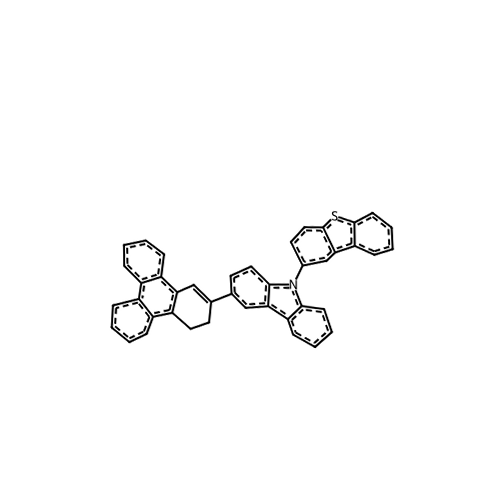 C1=C(c2ccc3c(c2)c2ccccc2n3-c2ccc3sc4ccccc4c3c2)CCc2c1c1ccccc1c1ccccc21